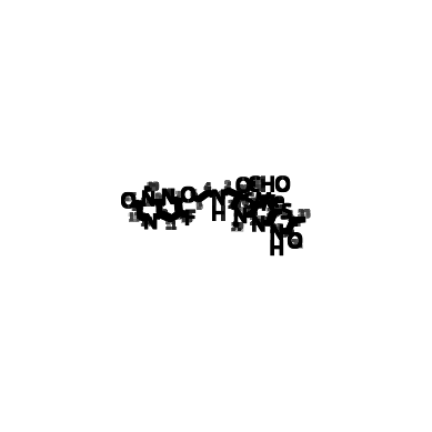 CSC(CNCCOc1nc2c(cc1F)ncc(=O)n2C)(CN(C)c1cnc2c(n1)NC(=O)C(C)S2)OC=O